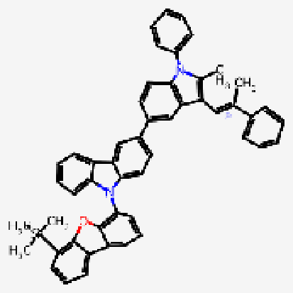 C/C(=C\c1c(C)n(-c2ccccc2)c2ccc(-c3ccc4c(c3)c3ccccc3n4-c3cccc4c3oc3c([Si](C)(C)C)cccc34)cc12)c1ccccc1